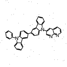 c1ccc(-n2c3ccccc3c3cc(-c4ccc5c(c4)c4ccccc4n5-c4cnc5ncccc5c4)ccc32)cc1